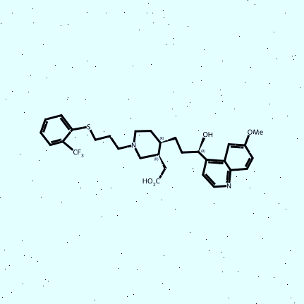 COc1ccc2nccc([C@H](O)CC[C@@H]3CCN(CCCSc4ccccc4C(F)(F)F)C[C@@H]3CC(=O)O)c2c1